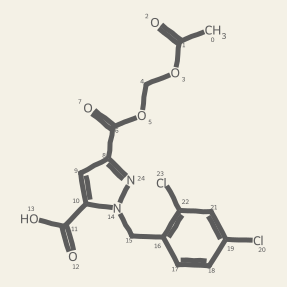 CC(=O)OCOC(=O)c1cc(C(=O)O)n(Cc2ccc(Cl)cc2Cl)n1